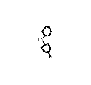 CCc1ccc(Nc2ccccc2)cc1